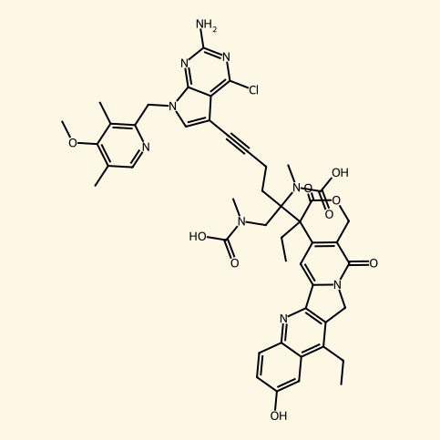 CCc1c2c(nc3ccc(O)cc13)-c1cc3c(c(=O)n1C2)COC(=O)C3(CC)C(CCC#Cc1cn(Cc2ncc(C)c(OC)c2C)c2nc(N)nc(Cl)c12)(CN(C)C(=O)O)N(C)C(=O)O